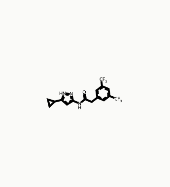 O=C(Cc1cc(C(F)(F)F)cc(C(F)(F)F)c1)Nc1cc(C2CC2)[nH]n1